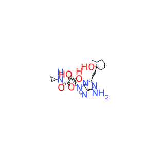 CC1CCCCC1(O)C#Cc1nc(N)c2ncn(C3O[C@H](C(=O)NC4CC4)[C@H](O)[C@@H]3O)c2n1